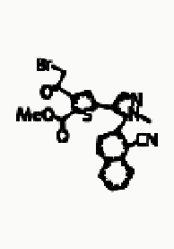 COC(=O)c1sc(-c2cnn(C)c2-c2ccc3ccccc3c2C#N)cc1C(=O)CBr